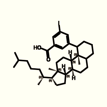 CC(C)CCC[C@@H](C)[C@H]1CC[C@H]2[C@@H]3CCC4CCCC(c5cc(I)cc(C(=O)O)c5)[C@]4(C)[C@H]3CC[C@]12C